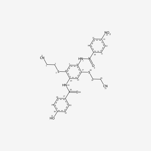 [C-]#[N+]CCSc1cc(NC(=O)c2ccc([N+](=O)[O-])cc2)c(SCCC#N)cc1NC(=O)c1ccc(O)cc1